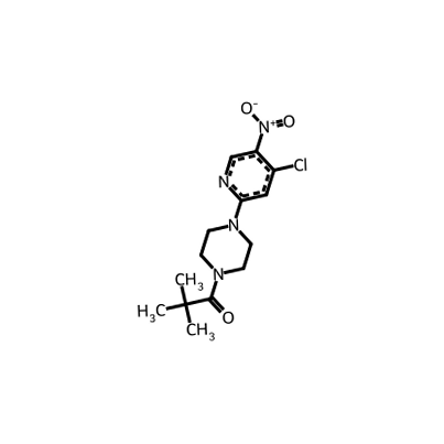 CC(C)(C)C(=O)N1CCN(c2cc(Cl)c([N+](=O)[O-])cn2)CC1